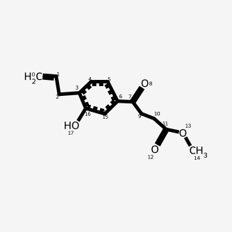 C=CCc1ccc(C(=O)CCC(=O)OC)cc1O